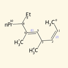 C/C=C\C(C)/C=C(\C)C(CC)CCC